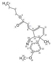 CCCCOC(=O)/C=C/C1=CC=CC(C)(c2ccc(OC)cc2)C1C#N